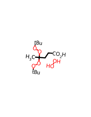 CC(C)(C)OOC(C)(CCC(=O)O)OOC(C)(C)C.OO